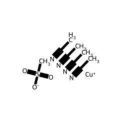 CC#N.CC#N.CC#N.CC#N.CS(=O)(=O)[O-].[Cu+]